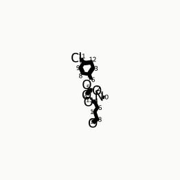 CN(OC(=O)OCc1ccc(Cl)cc1)C(=O)CCC=O